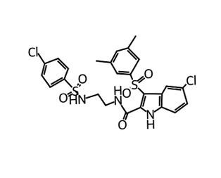 Cc1cc(C)cc(S(=O)(=O)c2c(C(=O)NCCNS(=O)(=O)c3ccc(Cl)cc3)[nH]c3ccc(Cl)cc23)c1